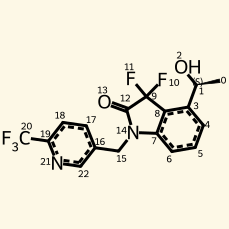 C[C@H](O)c1cccc2c1C(F)(F)C(=O)N2Cc1ccc(C(F)(F)F)nc1